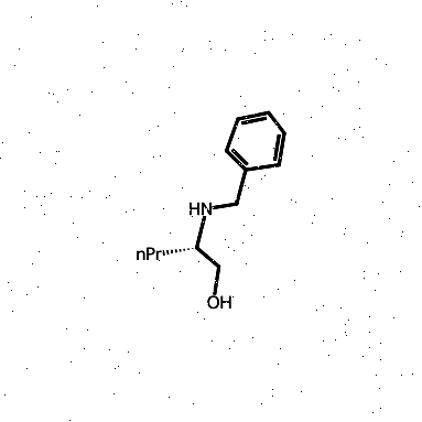 CCC[C@@H](CO)NCc1ccccc1